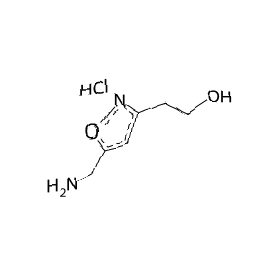 Cl.NCc1cc(CCO)no1